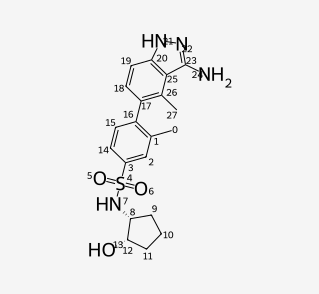 Cc1cc(S(=O)(=O)N[C@@H]2CCC[C@@H]2O)ccc1-c1ccc2[nH]nc(N)c2c1C